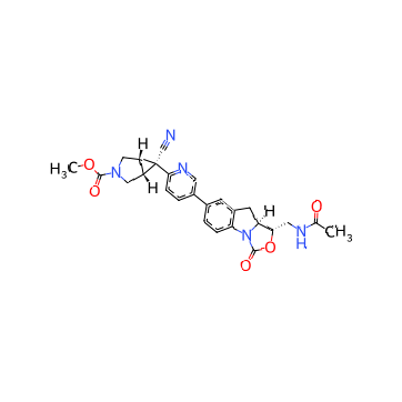 COC(=O)N1C[C@@H]2[C@H](C1)[C@@]2(C#N)c1ccc(-c2ccc3c(c2)C[C@H]2[C@H](CNC(C)=O)OC(=O)N32)cn1